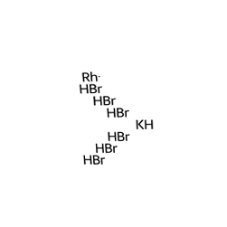 Br.Br.Br.Br.Br.Br.[KH].[Rh]